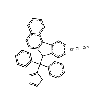 C1=CCC(C(c2ccccc2)(c2ccccc2)C2c3ccccc3-c3c2ccc2ccccc32)=C1.[Cl-].[Cl-].[Zr+2]